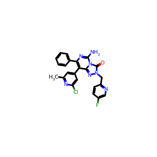 Cc1cc(-c2c(-c3ccccc3)nc(N)n3c(=O)n(Cc4ccc(F)cn4)nc23)cc(Cl)n1